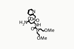 COCCN(CCOC)C(=O)NC(CC(N)=O)S(=O)(=O)Cc1ccccn1